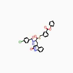 O=C(NC(Cc1cc(=O)[nH]c2ccccc12)C(=O)SCc1cccc(C(=O)Oc2ccccc2)c1)c1ccc(Cl)cc1